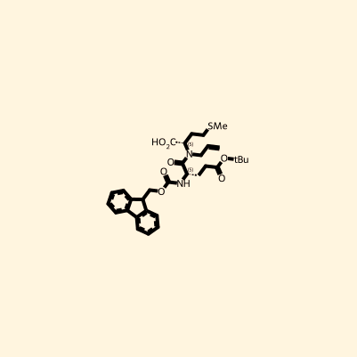 C=CCN(C(=O)[C@H](CCC(=O)OC(C)(C)C)NC(=O)OCC1c2ccccc2-c2ccccc21)[C@@H](CCSC)C(=O)O